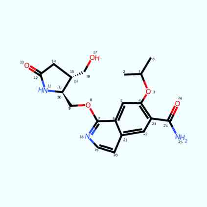 CC(C)Oc1cc2c(OC[C@H]3NC(=O)C[C@@H]3CO)nccc2cc1C(N)=O